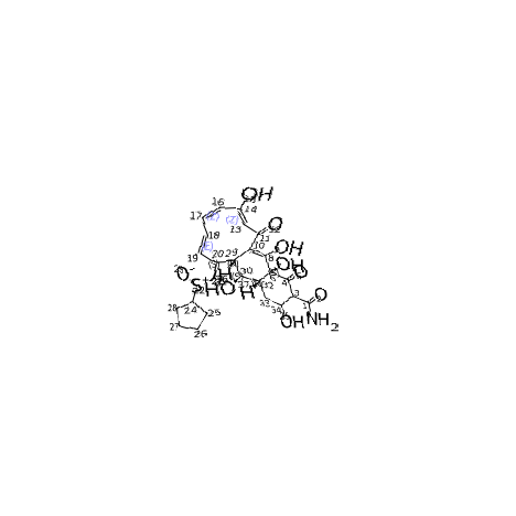 NC(=O)C1C(=O)[C@@]2(O)C(O)=C3C(=O)/C=C(O)/C=C\C=C\[C@H](C[S+]([O-])C4CCCC4)[C@H]3[C@H](O)[C@H]2CC1O